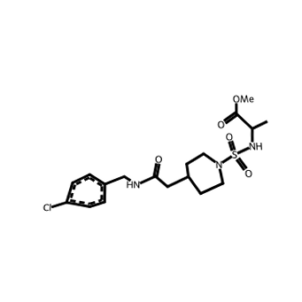 COC(=O)C(C)NS(=O)(=O)N1CCC(CC(=O)NCc2ccc(Cl)cc2)CC1